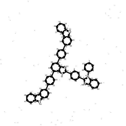 c1ccc(-n2c(-c3ccc(-c4nc5c(-c6ccc(-c7ccc8oc9ccccc9c8c7)cc6)ccc(-c6ccc(-c7ccc8oc9ccccc9c8c7)cc6)c5s4)cc3)nc3ccccc32)cc1